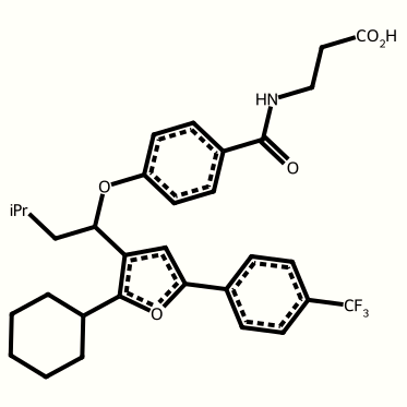 CC(C)CC(Oc1ccc(C(=O)NCCC(=O)O)cc1)c1cc(-c2ccc(C(F)(F)F)cc2)oc1C1CCCCC1